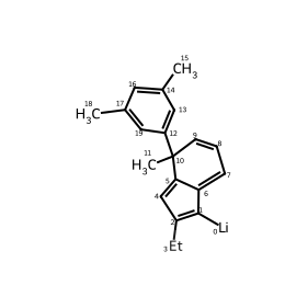 [Li][C]1=C(CC)C=C2C1=CC=CC2(C)c1cc(C)cc(C)c1